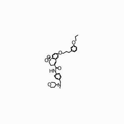 CCCOc1cccc(CCCOc2ccc3c(c2)C=C(C(=O)Nc2ccc(CN(C)C4CCOCC4)cc2)CCS3(=O)=O)c1